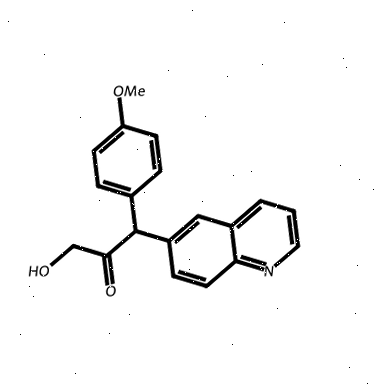 COc1ccc(C(C(=O)CO)c2ccc3ncccc3c2)cc1